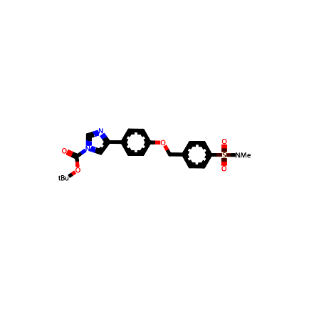 CNS(=O)(=O)c1ccc(COc2ccc(-c3cn(C(=O)OC(C)(C)C)cn3)cc2)cc1